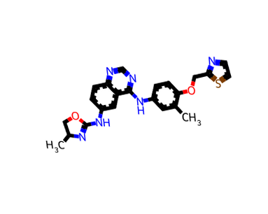 Cc1cc(Nc2ncnc3ccc(NC4=NC(C)CO4)cc23)ccc1OCc1nccs1